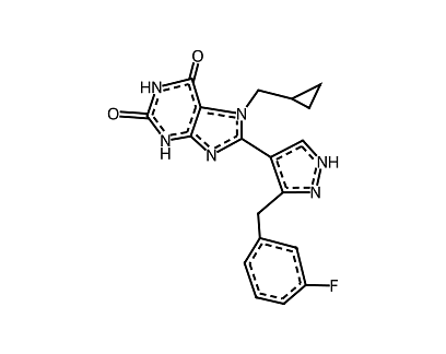 O=c1[nH]c(=O)c2c(nc(-c3c[nH]nc3Cc3cccc(F)c3)n2CC2CC2)[nH]1